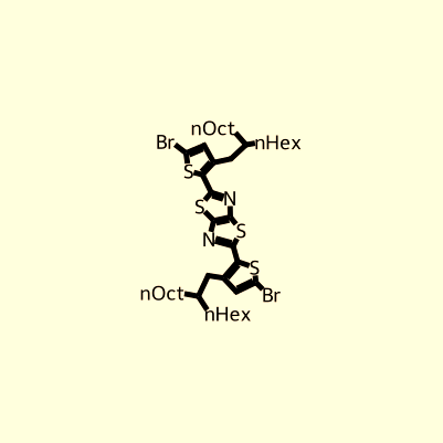 CCCCCCCCC(CCCCCC)Cc1cc(Br)sc1-c1nc2sc(-c3sc(Br)cc3CC(CCCCCC)CCCCCCCC)nc2s1